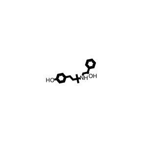 CC(C)(CCc1ccc(O)cc1)NCC(O)c1ccccc1